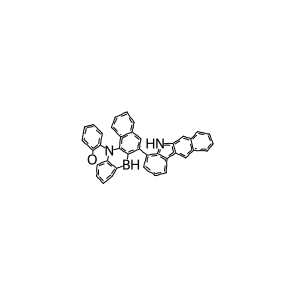 B1c2cccc3c2N(c2ccccc2O3)c2c1c(-c1cccc3c1[nH]c1cc4ccccc4cc13)cc1ccccc21